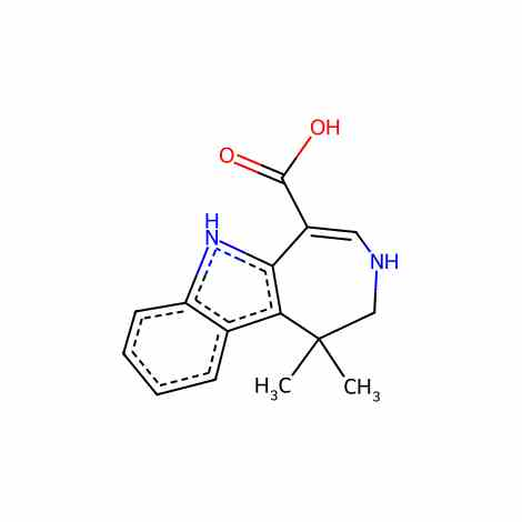 CC1(C)CNC=C(C(=O)O)c2[nH]c3ccccc3c21